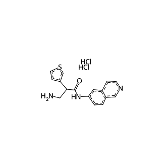 Cl.Cl.NCC(C(=O)Nc1ccc2cnccc2c1)c1ccsc1